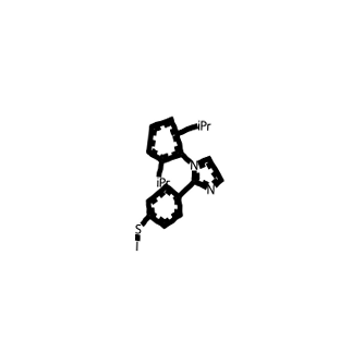 CC(C)c1cccc(C(C)C)c1-n1ccnc1-c1ccc(SI)cc1